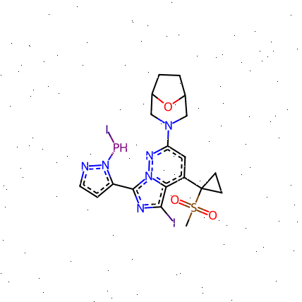 CS(=O)(=O)C1(c2cc(N3CC4CCC(C3)O4)nn3c(-c4ccnn4PI)nc(I)c23)CC1